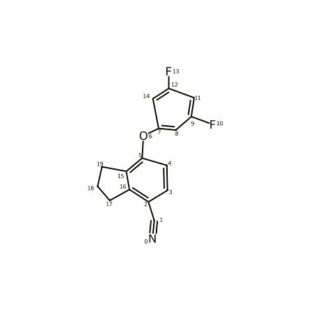 N#Cc1ccc(Oc2cc(F)cc(F)c2)c2c1CCC2